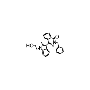 Cc1c(-c2nn(Cc3ccccc3)c(=O)c3ccccc23)c2ccccc2n1CCO